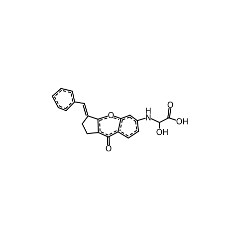 O=C(O)C(O)Nc1ccc2c(=O)c3c(oc2c1)C(=Cc1ccccc1)CC3